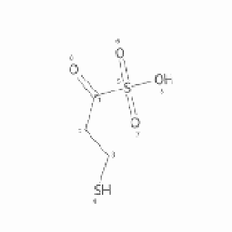 O=C(CCS)S(=O)(=O)O